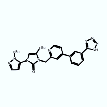 CCCCc1cn(-c2ccnn2CCCC)c(=O)n1Cc1cc(-c2cccc(-c3nnn[nH]3)c2)ccn1